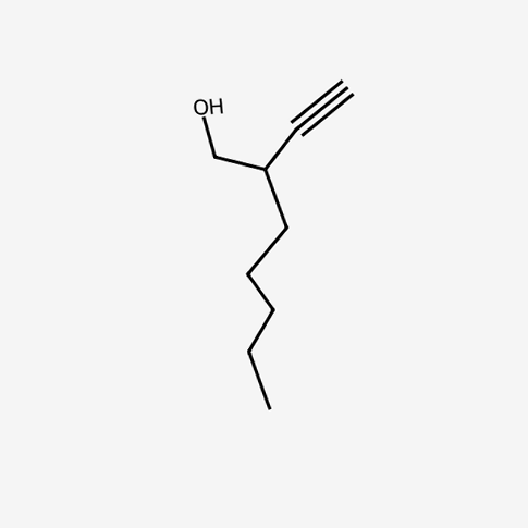 C#CC(CO)CCCCC